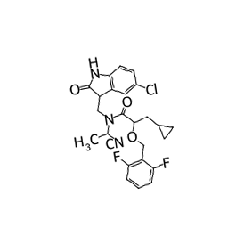 CC(C#N)N(CC1C(=O)Nc2ccc(Cl)cc21)C(=O)C(CC1CC1)OCc1c(F)cccc1F